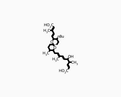 CCCCC1CC[C@]2(CCC(C)C(C/C=C(C)/C=C/C(O)C(C)/C=C/C(=O)O)O2)OC1/C=C/C(C)=C/C(=O)O